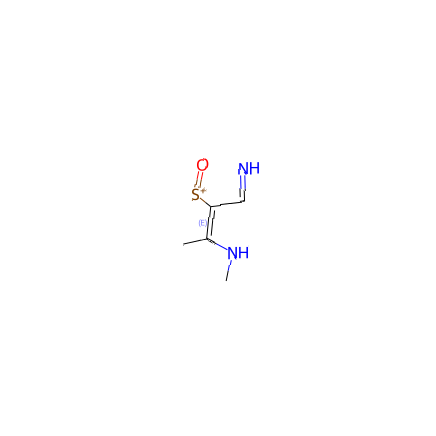 CN/C(C)=C(\C=N)[S+]=O